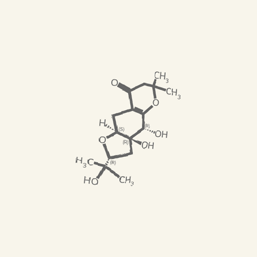 CC1(C)CC(=O)C2=C(O1)[C@H](O)[C@]1(O)C[C@H](C(C)(C)O)O[C@H]1C2